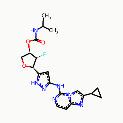 CC(C)NC(=O)O[C@@H]1CO[C@H](c2cc(Nc3nccc4nc(C5CC5)cn34)n[nH]2)[C@H]1F